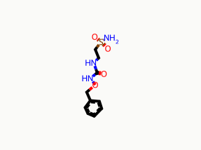 NS(=O)(=O)CCNC(=O)NOCc1ccccc1